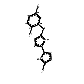 Clc1ccc(-c2ccc(Cc3cc(Br)ccc3Cl)s2)s1